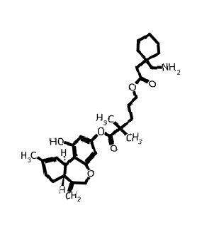 C=C1COc2cc(OC(=O)C(C)(C)CCCOC(=O)CC3(CN)CCCCC3)cc(O)c2[C@@H]2C=C(C)CC[C@@H]12